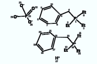 CC[P+](CC)(CC)Cc1ccccc1.CC[P+](CC)(CC)Cc1ccccc1.O=P([O-])([O-])[O-].[H+]